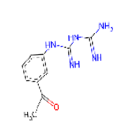 CC(=O)c1cccc(NC(=N)NC(=N)N)c1